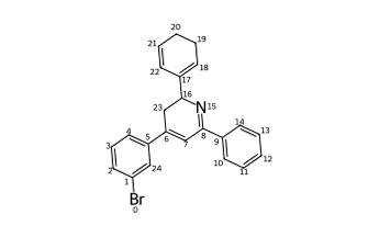 Brc1cccc(C2=CC(c3ccccc3)=NC(C3=CCCC=C3)C2)c1